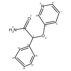 NC(=O)C(Oc1cccnc1)c1ccccc1